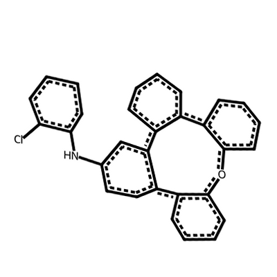 Clc1ccccc1Nc1ccc2c3ccccc3oc3ccccc3c3ccccc3c2c1